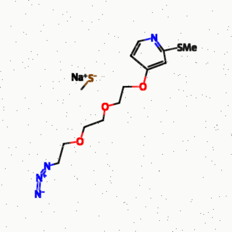 CSc1cc(OCCOCCOCCN=[N+]=[N-])ccn1.C[S-].[Na+]